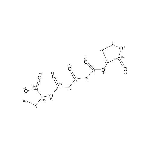 O=C(CC(=O)OC1CCOC1=O)CC(=O)OC1CCOC1=O